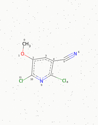 COc1cc(C#N)c(Cl)nc1Cl